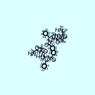 CN[C@@H](C)C(=O)N[C@H](C(=O)N1CCC[C@H]1CN(CCc1ccccc1)C(=O)c1ccc2ccc(C(=O)N(CCc3ccccc3)C[C@@H]3CCCN3C(=O)[C@@H](NC(=O)[C@H](C)NC)C(C)(C)C)cc2c1)C(C)(C)C